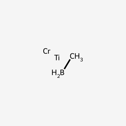 BC.[Cr].[Ti]